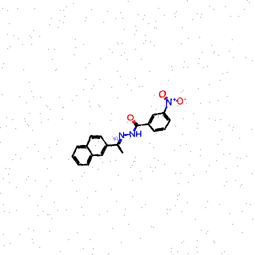 C/C(=N\NC(=O)c1cccc([N+](=O)[O-])c1)c1ccc2ccccc2c1